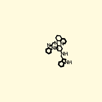 c1cnc2c(c1)CCCC2N(Cc1nc2ccccc2[nH]1)C1CCC(NCc2c[nH]c3ccccc23)CC1